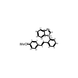 COc1ccc(/C=C/c2ccccc2-n2cnc3ccccc32)cc1